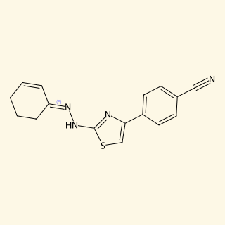 N#Cc1ccc(-c2csc(N/N=C3/C=CCCC3)n2)cc1